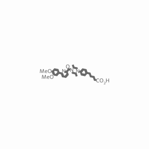 COc1ccc(-c2cccc(C(=O)N3CC(C)N(c4ccc(CCCCC(=O)O)cc4)CC3C)n2)cc1OC